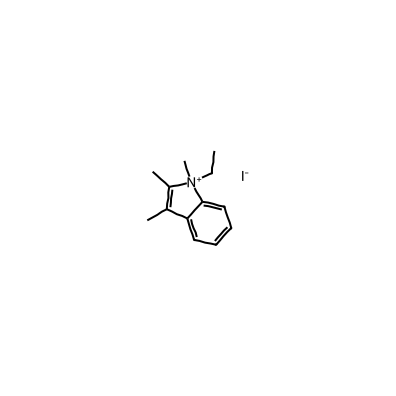 CC[N+]1(C)C(C)=C(C)c2ccccc21.[I-]